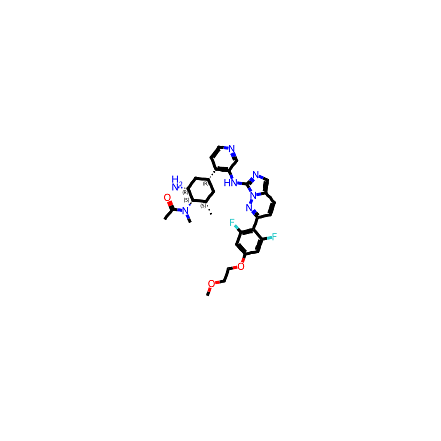 COCCOc1cc(F)c(-c2ccc3cnc(Nc4cnccc4[C@H]4C[C@@H](N)[C@@H](N(C)C(C)=O)[C@@H](C)C4)n3n2)c(F)c1